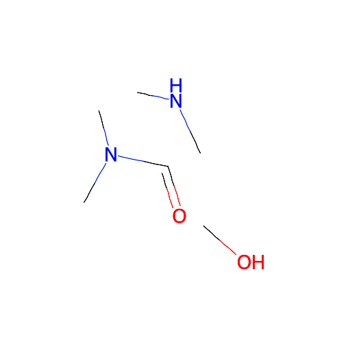 CN(C)C=O.CNC.CO